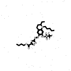 CCCCCN1c2cc(NS(=O)(=O)C(F)(F)F)c(N=Nc3nnc(C(=O)OCCCC)s3)cc2CCC1CC